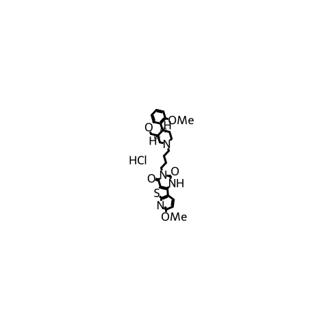 COc1ccc2c(n1)sc1c(=O)n(CCCCN3CC[C@H]4c5c(OC)cccc5OC[C@@H]4C3)c(=O)[nH]c12.Cl